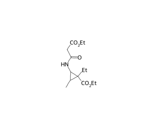 CCOC(=O)CC(=O)NC1C(C)C1(CC)C(=O)OCC